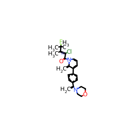 C=C(c1ccc(C2=CC=CN(C(=O)/C(Cl)=C(\C)C(C)(C)F)C2=C)cc1)N1CCOCC1